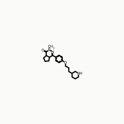 CN1N=C(c2ccc(OCCCC3CCCNC3)cc2)C2CCCC2C1=O